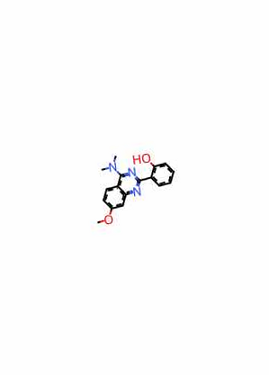 COc1ccc2c(N(C)C)nc(-c3ccccc3O)nc2c1